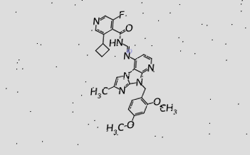 COc1ccc(Cn2c3nccc(/N=C/NC(=O)c4c(F)cncc4C4CCC4)c3n3cc(C)nc23)c(OC)c1